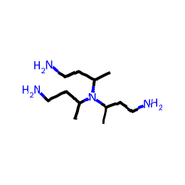 CC(CCN)N(C(C)CCN)C(C)CCN